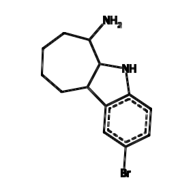 NC1CCCCC2c3cc(Br)ccc3NC12